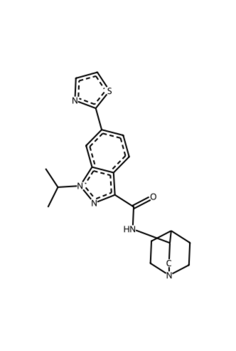 CC(C)n1nc(C(=O)NC2CN3CCC2CC3)c2ccc(-c3nccs3)cc21